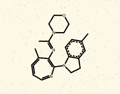 CC1=C=CC=NC(N2CCc3cc(C)ccc32)=C1/N=C(\C)N1CCOCC1